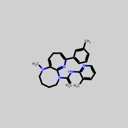 C=C(Nc1ncccc1C)N1CCCCN(C)C2=CCC=C(c3cccc(C)c3)N=C21